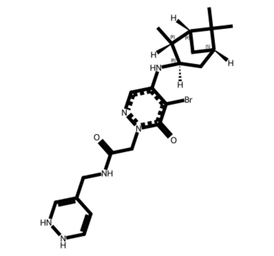 C[C@@H]1[C@H]2C[C@@H](C[C@H]1Nc1cnn(CC(=O)NCC3=CNNC=C3)c(=O)c1Br)C2(C)C